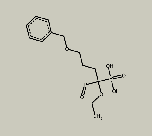 CCOC(CCCOCc1ccccc1)(P=O)P(=O)(O)O